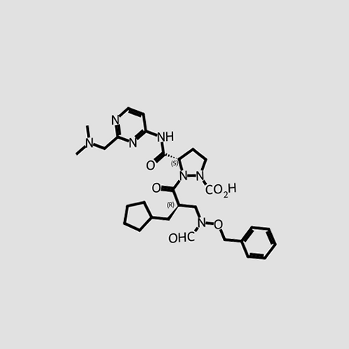 CN(C)Cc1nccc(NC(=O)[C@@H]2CCN(C(=O)O)N2C(=O)[C@H](CC2CCCC2)CN(C=O)OCc2ccccc2)n1